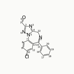 O=Cc1nc2n(n1)-c1ccc(Cl)cc1C(c1ccccc1)=NC2